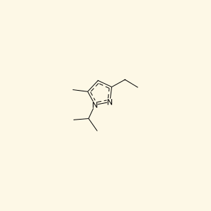 CCc1cc(C)n(C(C)C)n1